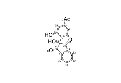 CC(=O)c1ccc(C2(O)C(=O)c3ccccc3C2=O)c(O)c1